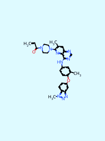 C=CC(=O)N1CCN(c2nc3c(Nc4ccc(Oc5ccc6c(c5)nnn6C)c(C)c4)ncnc3cc2C)CC1